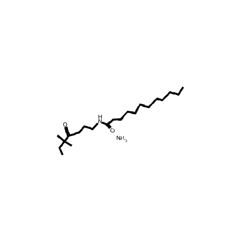 CCCCCCCCCCCC(=O)NCCCC(=O)C(C)(C)CC.N